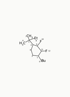 CCC(C)C1CCC(C(C)(C)CC)C(F)C1F